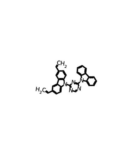 C=Cc1ccc2c(c1)c1cc(C=C)ccc1n2-c1ncnc(-n2c3ccccc3c3ccccc32)n1